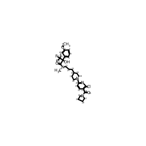 COc1cccc(C(O)(C(=O)N(C)CCCC2CCN(c3ccc(C(=O)N4CCCC4)c(Cl)n3)CC2)C(F)(F)F)c1